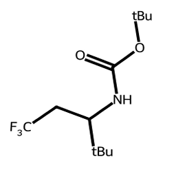 CC(C)(C)OC(=O)NC(CC(F)(F)F)C(C)(C)C